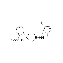 COc1ccccc1C1(C#N)CCN(N[C@H]2C[C@H]3C=C[C@H]2C3)CC1